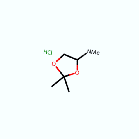 CNC1COC(C)(C)O1.Cl